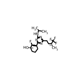 CC(C)Nc1nc(CC[C@H](C)C(F)(F)F)nc(C2=C(F)[C@H](O)CCC2)n1